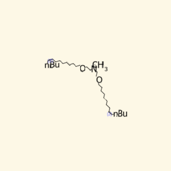 CCCC/C=C\CCCCCCCCOCCN(C)CCOCCCCCCCC/C=C\CCCC